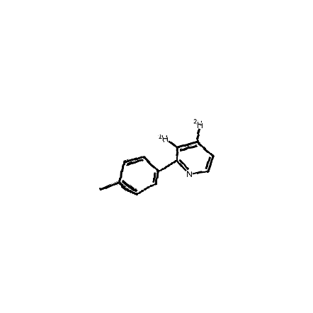 [2H]c1ccnc(-c2ccc(C)cc2)c1[2H]